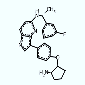 C[C@@H](Nc1ccc2ncc(-c3ccc(O[C@H]4CCC[C@H]4N)cc3)n2n1)c1cccc(F)c1